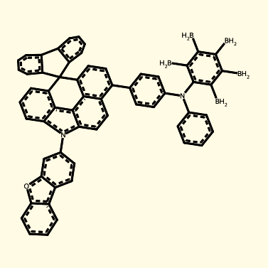 Bc1c(B)c(B)c(N(c2ccccc2)c2ccc(-c3ccc4c5c3ccc3c5c5c(cccc5n3-c3ccc5c(c3)oc3ccccc35)C43c4ccccc4-c4ccccc43)cc2)c(B)c1B